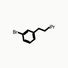 CC(C)CCc1cccc(Br)c1